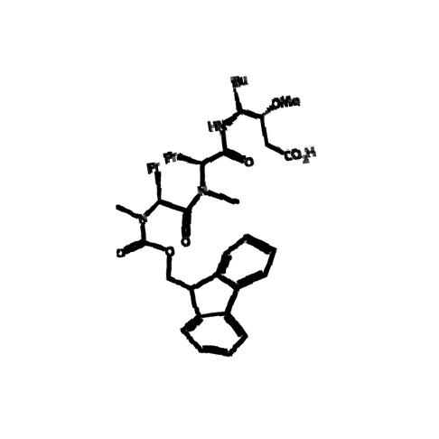 CC[C@H](C)[C@H](NC(=O)[C@H](C(C)C)N(C)C(=O)[C@H](C(C)C)N(C)C(=O)OCC1c2ccccc2-c2ccccc21)[C@@H](CC(=O)O)OC